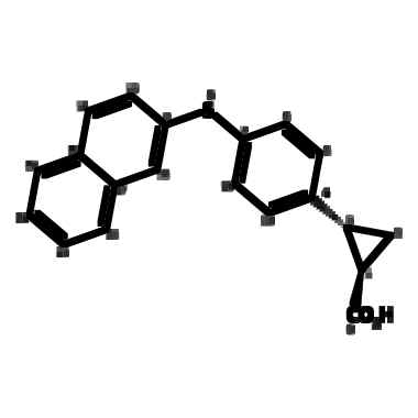 O=C(O)[C@@H]1C[C@H]1c1ccc(Sc2ccc3ccccc3c2)cc1